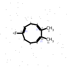 CC1=C/C/C=C(/F)CC/C=C\1C